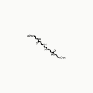 CCCCCCCCCCCCNC(=O)CCNCCNCCC(=O)NCCCCCCCCCCCC